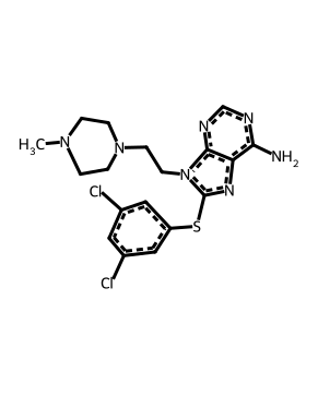 CN1CCN(CCn2c(Sc3cc(Cl)cc(Cl)c3)nc3c(N)ncnc32)CC1